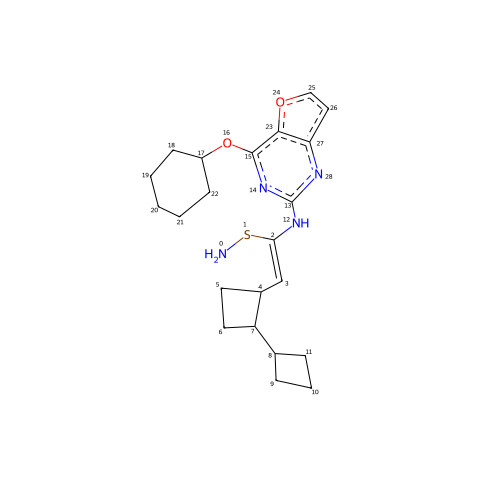 NS/C(=C\C1CCC1C1CCC1)Nc1nc(OC2CCCCC2)c2occc2n1